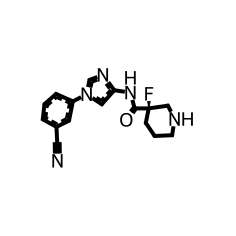 N#Cc1cccc(-n2cnc(NC(=O)[C@@]3(F)CCCNC3)c2)c1